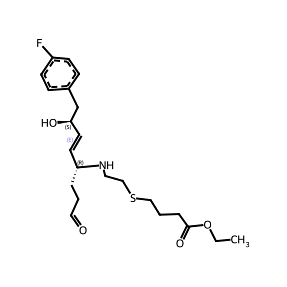 CCOC(=O)CCCSCCN[C@@H](/C=C/[C@@H](O)Cc1ccc(F)cc1)CCC=O